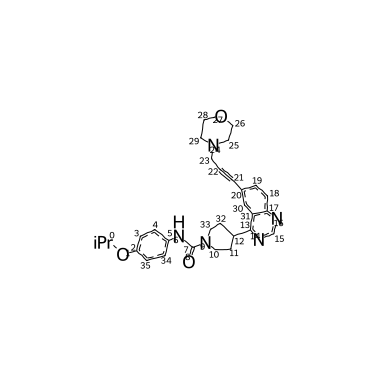 CC(C)Oc1ccc(NC(=O)N2CCC(c3ncnc4ccc(C#CCN5CCOCC5)cc34)CC2)cc1